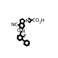 N#Cc1c2c(cc3nc(-c4cccc(-c5ccccc5)c4F)oc13)[C@@H](N1CC(C(=O)O)C1)CC2